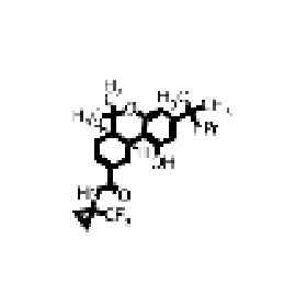 CCCC(C)(C)c1cc(O)c2c(c1)OC(C)(C)[C@@H]1CC=C(C(=O)NC3(C(F)(F)F)CC3)C[C@@H]21